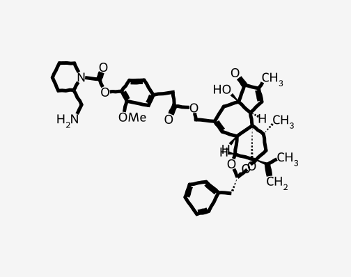 C=C(C)[C@]12C[C@@H](C)[C@@]34O[C@](Cc5ccccc5)(O[C@@H]1[C@@H]3C=C(COC(=O)Cc1ccc(OC(=O)N3CCCCC3CN)c(OC)c1)C[C@]1(O)C(=O)C(C)=C[C@@H]41)O2